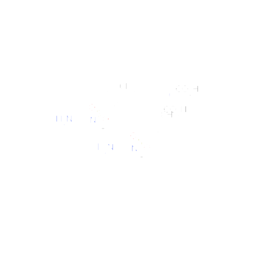 Cc1ccc(S(=O)(=O)N2CC(N)CCc3ccccc32)cc1.Cc1ccc(S(=O)(=O)N2CC(N)CCc3ccccc32)cc1.O=C(O)/C=C/C(=O)O